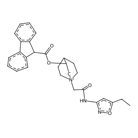 CCc1cc(NC(=O)C[N+]23CCC(CC2)C(OC(=O)C2c4ccccc4-c4ccccc42)C3)no1